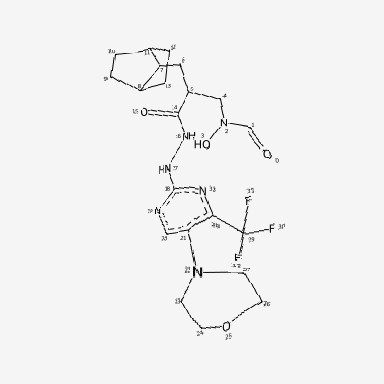 O=CN(O)CC(CC1C2CCC1CC2)C(=O)NNc1ncc(N2CCOCC2)c(C(F)(F)F)n1